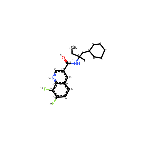 CC(C)(C)CC(C)(CC1CCCCC1)NC(=O)c1cnc2c(F)c(F)ccc2c1